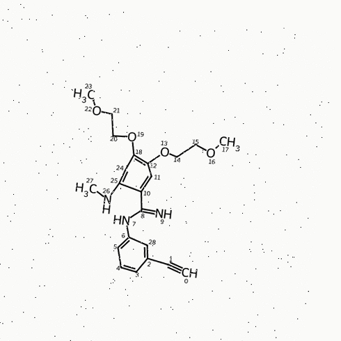 C#Cc1cccc(NC(=N)c2cc(OCCOC)c(OCCOC)cc2NC)c1